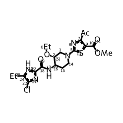 CCO[C@H]1CN(c2nc(C(C)=O)c(C(=O)OC)s2)CC[C@H]1NC(=O)c1nc(Cl)c(CC)[nH]1